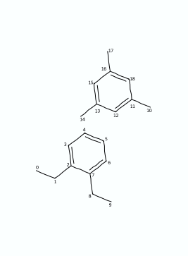 CCc1ccccc1CC.Cc1cc(C)cc(C)c1